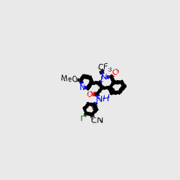 COc1ccc(C2C(C(=O)Nc3ccc(F)c(C#N)c3)c3ccccc3C(=O)N2CC(F)(F)F)cn1